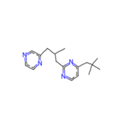 CC(Cc1cnccn1)Cc1nccc(CC(C)(C)C)n1